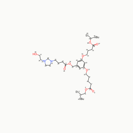 CCCCC(CC)COC(=O)CCCCOc1cc(COC(=O)CCCN2CCN(CCO)C2)cc(OCCCC(=O)OC(CC)CCCC)c1